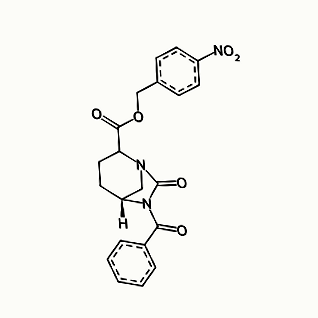 O=C(OCc1ccc([N+](=O)[O-])cc1)C1CC[C@@H]2CN1C(=O)N2C(=O)c1ccccc1